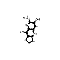 COc1nc2c(Cl)c3c(nc2cc1O)CCC3